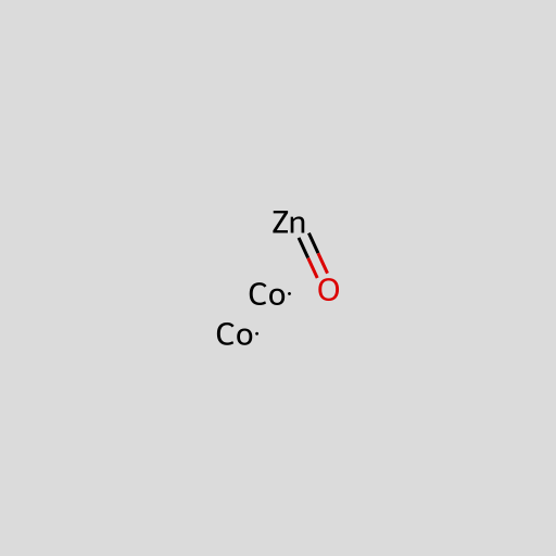 [Co].[Co].[O]=[Zn]